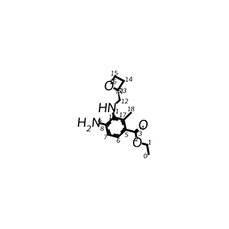 CCOC(=O)c1ccc(N)c(NC[C@@H]2CCO2)c1C